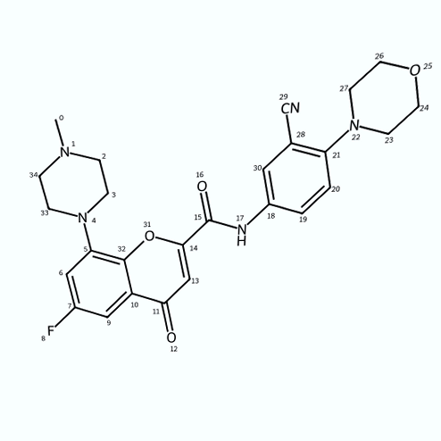 CN1CCN(c2cc(F)cc3c(=O)cc(C(=O)Nc4ccc(N5CCOCC5)c(C#N)c4)oc23)CC1